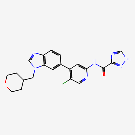 O=C(Nc1cc(-c2ccc3ncn(CC4CCOCC4)c3c2)c(Cl)cn1)c1nc[nH]n1